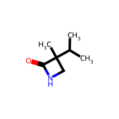 CC(C)C1(C)CNC1=O